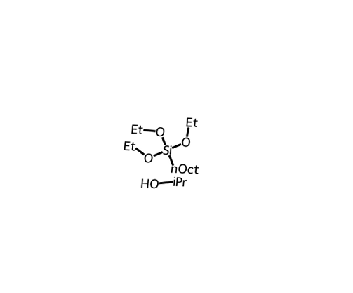 CC(C)O.CCCCCCCC[Si](OCC)(OCC)OCC